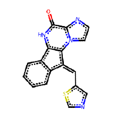 O=c1[nH]c2c3ccccc3/c(=C\c3cncs3)c2n2ccnc12